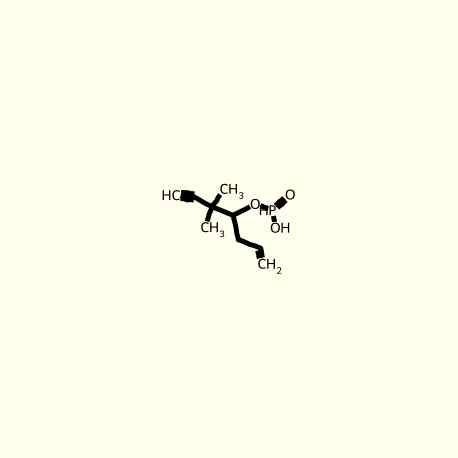 C#CC(C)(C)C(CC=C)O[PH](=O)O